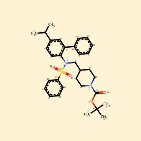 CC(C)c1ccc(N(CC2CCN(C(=O)OC(C)(C)C)CC2)S(=O)(=O)c2ccccc2)c(-c2ccccc2)c1